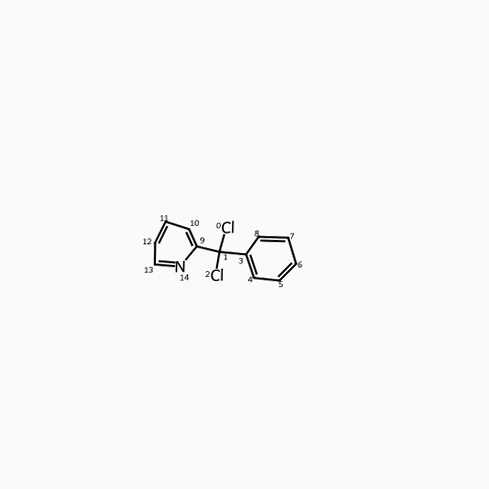 ClC(Cl)(c1ccccc1)c1ccccn1